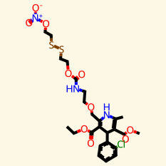 CCOC(=O)C1=C(COCCNC(=O)OCCSSCCO[N+](=O)[O-])NC(C)=C(C(=O)OC)C1c1ccccc1Cl